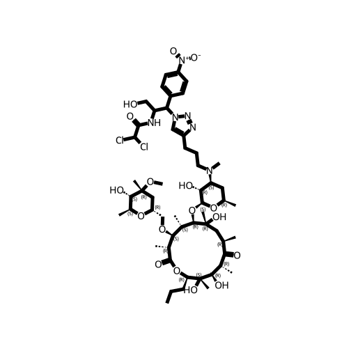 CCC[C@H]1OC(=O)[C@H](C)[C@@H](OC[C@H]2C[C@@](C)(OC)[C@@H](O)[C@H](C)O2)[C@H](C)[C@@H](O[C@@H]2O[C@H](C)C[C@H](N(C)CCCc3cn(C(c4ccc([N+](=O)[O-])cc4)C(CO)NC(=O)C(Cl)Cl)nn3)[C@H]2O)[C@](C)(O)C[C@@H](C)C(=O)[C@H](C)[C@@H](O)[C@]1(C)O